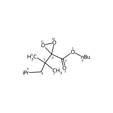 CCCCOC(=O)C1(C(C)(C)CC(C)C)OO1